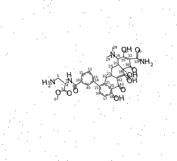 COC(=O)C(CN)NC(=O)c1cccc(-c2ccc(O)c3c2CC2CC4C(N(C)C)C(O)=C(C(N)=O)C(=O)C4(O)C(O)=C2C3=O)c1